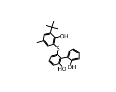 Cc1cc(Sc2cccc(O)c2-c2ccccc2O)c(O)c(C(C)(C)C)c1